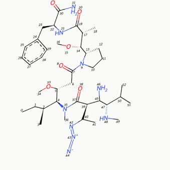 CC[C@H](C)[C@@H]([C@@H](CC(=O)N1CCC[C@H]1[C@H](OC)[C@@H](C)C(=O)N[C@@H](Cc1ccccc1)C(N)=O)OC)N(C)C(=O)[C@H](C(C)N=[N+]=[N-])C(N)[C@@H](NC)C(C)C